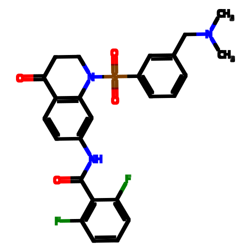 CN(C)Cc1cccc(S(=O)(=O)N2CCC(=O)c3ccc(NC(=O)c4c(F)cccc4F)cc32)c1